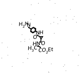 CCOC(=O)CC(C)NC(=O)C1CC1C(=O)Nc1ccc(C=NN)cc1